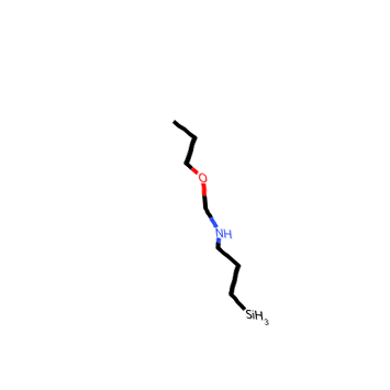 CCCOCNCCC[SiH3]